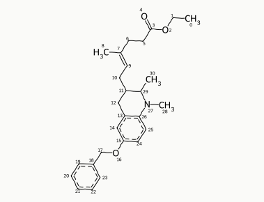 CCOC(=O)CC/C(C)=C/CC1Cc2cc(OCc3ccccc3)ccc2N(C)C1C